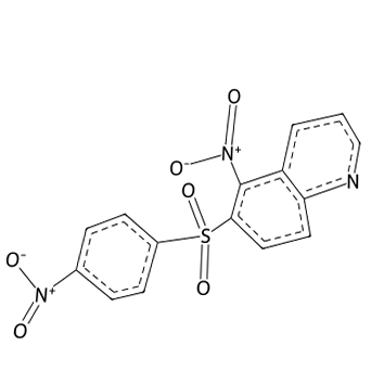 O=[N+]([O-])c1ccc(S(=O)(=O)c2ccc3ncccc3c2[N+](=O)[O-])cc1